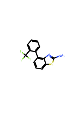 Nc1nc2c(-c3ccccc3C(F)(F)F)cccc2s1